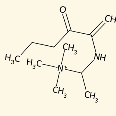 C=C(NC(C)[N+](C)(C)C)C(=O)CCC